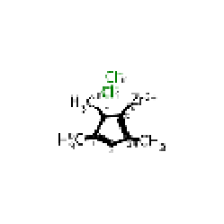 CC1=CC(C)=[C]([Zr+2])C1C.[Cl-].[Cl-]